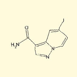 NC(=O)c1cnn2ccc(I)cc12